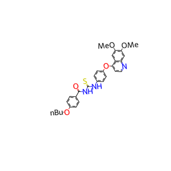 CCCCOc1ccc(C(=O)NC(=S)Nc2ccc(Oc3ccnc4cc(OC)c(OC)cc34)cc2)cc1